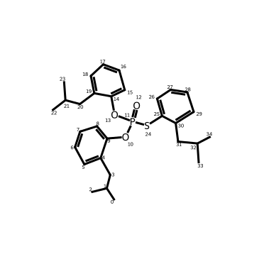 CC(C)Cc1ccccc1OP(=O)(Oc1ccccc1CC(C)C)Sc1ccccc1CC(C)C